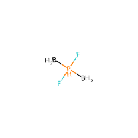 B[PH](B)(F)F